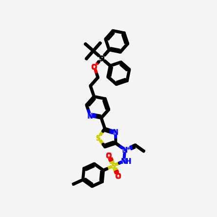 C/C=[N+](\NS(=O)(=O)c1ccc(C)cc1)c1csc(-c2ccc(CCO[Si](c3ccccc3)(c3ccccc3)C(C)(C)C)cn2)n1